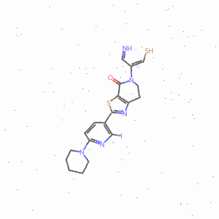 N=C/C(=C\S)N1CCc2nc(-c3ccc(N4CCCCC4)nc3I)sc2C1=O